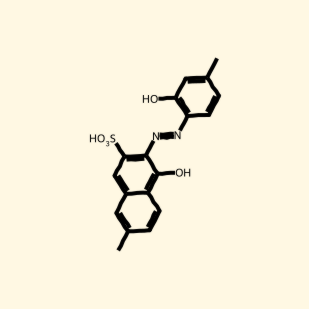 Cc1ccc(N=Nc2c(S(=O)(=O)O)cc3cc(C)ccc3c2O)c(O)c1